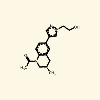 CC(=O)N1C[C@H](C)Cc2cc(-c3cnn(CCO)c3)ccc21